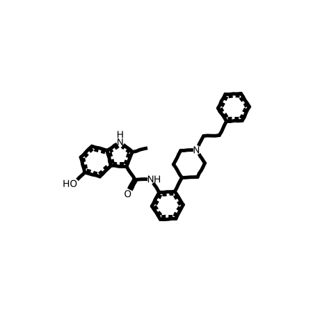 Cc1[nH]c2ccc(O)cc2c1C(=O)Nc1ccccc1C1CCN(CCc2ccccc2)CC1